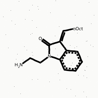 CCCCCCCC/C=C1/C(=O)N(CCN)c2ccccc21